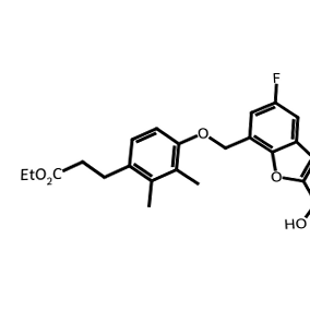 CCOC(=O)CCc1ccc(OCc2cc(F)cc3cc(CO)oc23)c(C)c1C